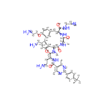 Cc1nc(-c2ccc(C(C)(C)C)cc2)nc(C)c1C(=O)N[C@@H](CCN)C(=O)N(C)[C@@H]1C(=O)N[C@@H](C)C(=O)N[C@H](C(=O)NCC#N)Cc2ccc(OCCN)c(c2)-c2cc1ccc2CN